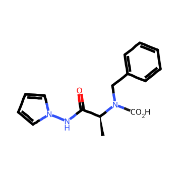 C[C@@H](C(=O)Nn1cccc1)N(Cc1ccccc1)C(=O)O